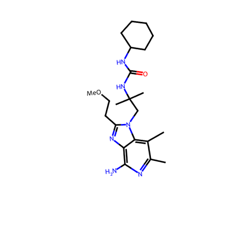 COCCc1nc2c(N)nc(C)c(C)c2n1CC(C)(C)NC(=O)NC1CCCCC1